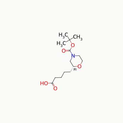 CC(C)(C)OC(=O)N1CCO[C@H](CCCCC(=O)O)C1